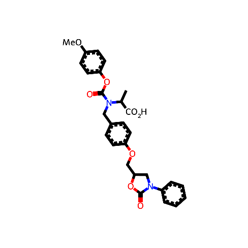 COc1ccc(OC(=O)N(Cc2ccc(OCC3CN(c4ccccc4)C(=O)O3)cc2)C(C)C(=O)O)cc1